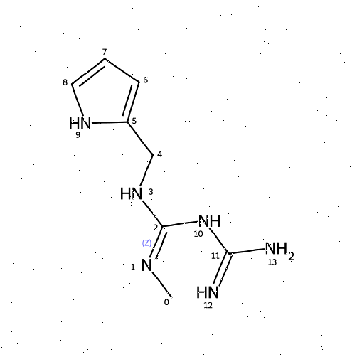 C/N=C(/NCc1ccc[nH]1)NC(=N)N